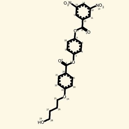 O=C(Oc1ccc(OC(=O)c2cc([N+](=O)[O-])cc([N+](=O)[O-])c2)cc1)c1ccc(OCCCCO)cc1